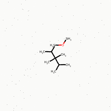 C[C]([SiH2]O[SiH3])C(C)(C)C(C)C